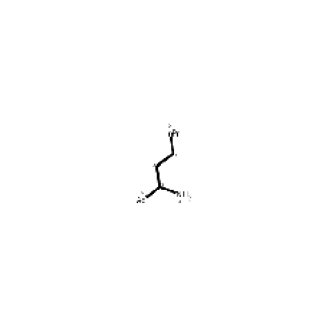 CCCCCC(N)C(C)=O